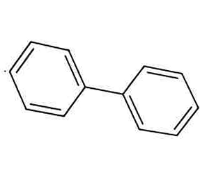 [c]1ccc(-c2ccccc2)cc1